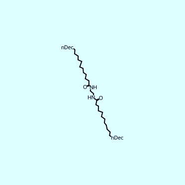 CCCCCCCCCCCCCCCCCCCCCC(=O)NCCNC(=O)CCCCCCCCCCCCCCCCCCCCC